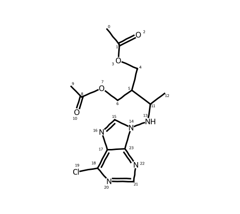 CC(=O)OCC(COC(C)=O)C(C)Nn1cnc2c(Cl)ncnc21